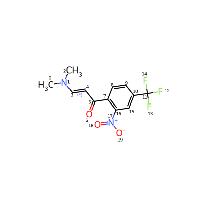 CN(C)/C=C/C(=O)c1ccc(C(F)(F)F)cc1[N+](=O)[O-]